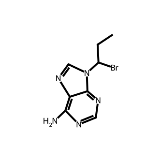 CCC(Br)n1cnc2c(N)ncnc21